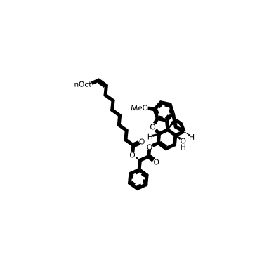 CCCCCCCC/C=C\CCCCCCCC(=O)O[C@H](C(=O)OC1=CC[C@@]2(O)[C@@H]3CCC[C@@]24c2c(ccc(OC)c2O[C@@H]14)C3)c1ccccc1